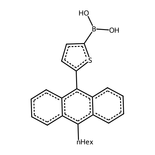 CCCCCCc1c2ccccc2c(-c2ccc(B(O)O)s2)c2ccccc12